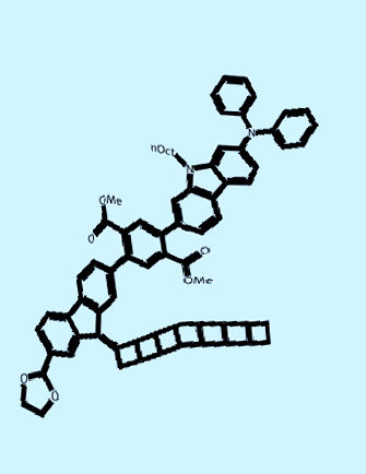 CCCCCCCCn1c2cc(-c3cc(C(=O)OC)c(-c4ccc5c(c4)/C(=C4/CC6C4C4C6C6C7C8C9CCC9C8C7C46)c4cc(C6OCCO6)ccc4-5)cc3C(=O)OC)ccc2c2ccc(N(c3ccccc3)c3ccccc3)cc21